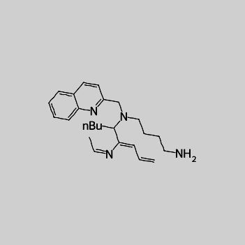 C=C/C=C(\N=C/C)C(CCCC)N(CCCCN)Cc1ccc2ccccc2n1